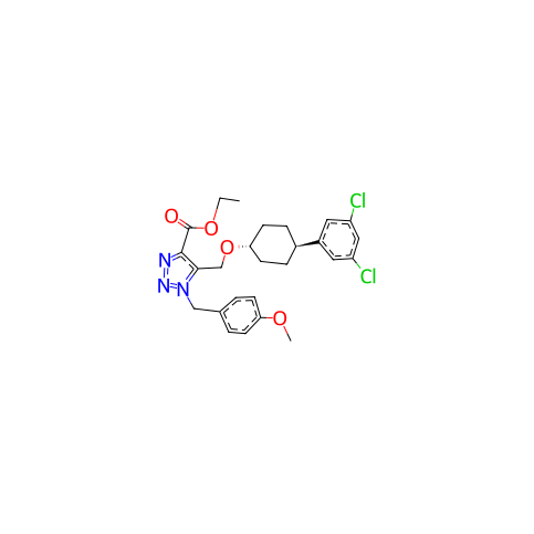 CCOC(=O)c1nnn(Cc2ccc(OC)cc2)c1CO[C@H]1CC[C@H](c2cc(Cl)cc(Cl)c2)CC1